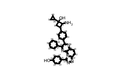 NC1C(c2ccc(-c3nc4ccc5nnc(-c6ccc(O)cc6)n5c4nc3-c3ccccc3)cc2)CC1(O)C1CC1